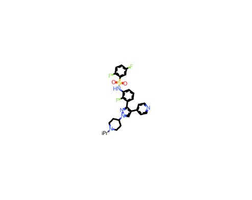 CC(C)N1CCC(n2cc(-c3ccncc3)c(-c3cccc(NS(=O)(=O)c4cc(F)ccc4F)c3F)n2)CC1